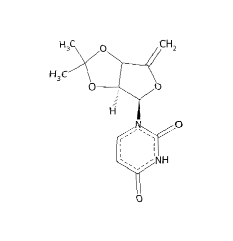 C=C1O[C@@H](n2ccc(=O)[nH]c2=O)[C@H]2OC(C)(C)OC12